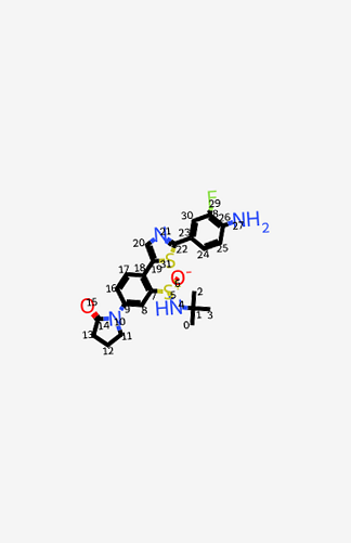 CC(C)(C)N[S+]([O-])c1cc(N2CCCC2=O)ccc1-c1cnc(-c2ccc(N)c(F)c2)s1